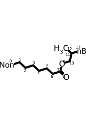 CCCCCCCCCCCCCCCC(=O)OCC(C)CCCC